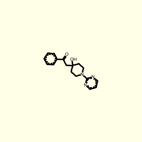 O=C(CC1(O)CCN(c2ncccn2)CC1)c1ccccc1